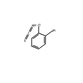 CC(C)c1ccccc1Cl.N=C=S